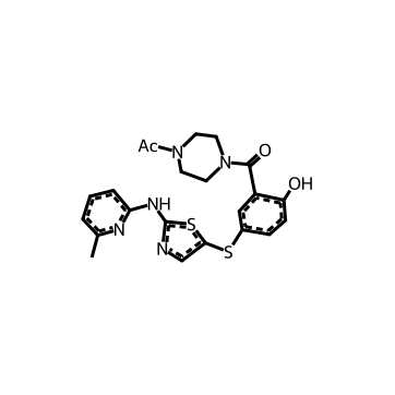 CC(=O)N1CCN(C(=O)c2cc(Sc3cnc(Nc4cccc(C)n4)s3)ccc2O)CC1